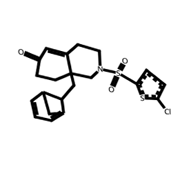 O=C1C=C2CCN(S(=O)(=O)c3ccc(Cl)s3)CC2(CC2C3=CC=CC2C3)CC1